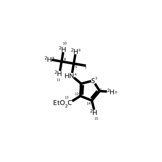 [2H]c1sc(NC([2H])(C)C([2H])([2H])[2H])c(C(=O)OCC)c1[2H]